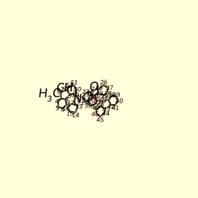 CC1(C)c2ccccc2-c2c(N(c3ccccc3)c3ccc4c(c3)oc3cccc(C5(c6ccccc6)c6ccccc6-c6ccccc65)c34)cccc21